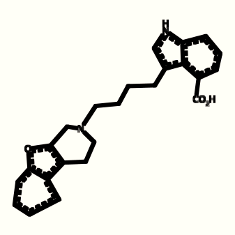 O=C(O)c1cccc2[nH]cc(CCCCN3CCc4c(oc5ccccc45)C3)c12